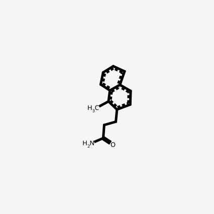 Cc1c(CCC(N)=O)ccc2ccccc12